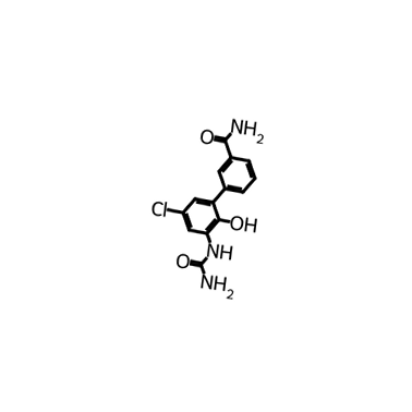 NC(=O)Nc1cc(Cl)cc(-c2cccc(C(N)=O)c2)c1O